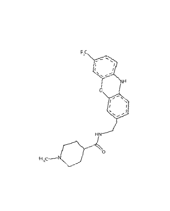 CN1CCC(C(=O)NCc2ccc3c(c2)Oc2cc(C(F)(F)F)ccc2N3)CC1